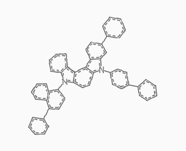 c1ccc(-c2ccc(-n3c4cc(-c5ccccc5)ccc4c4c5c6ccccc6n(-c6ccc(-c7ccccc7)c7ccccc67)c5ccc43)cc2)cc1